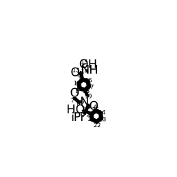 CC(C)C(O)(C(=O)N1CCOc2cc(C(=O)NO)ccc2C1)c1ccccc1